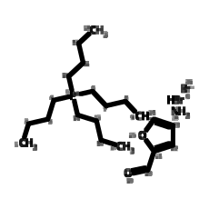 Br.CCCC[P+](CCCC)(CCCC)CCCC.N.O=Cc1ccco1.[Br-]